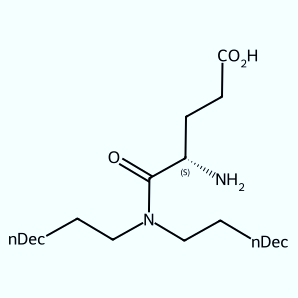 CCCCCCCCCCCCN(CCCCCCCCCCCC)C(=O)[C@@H](N)CCC(=O)O